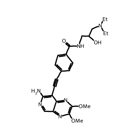 CCN(CC)CC(O)CNC(=O)c1ccc(C#Cc2c(N)ncc3nc(OC)c(OC)nc23)cc1